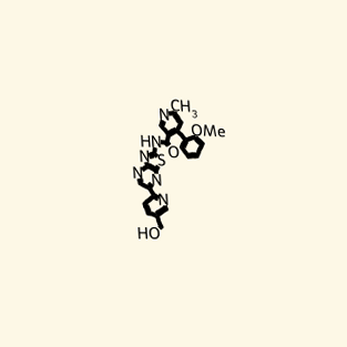 COc1ccccc1-c1cc(C)ncc1C(=O)Nc1nc2ncc(-c3ccc(CO)cn3)nc2s1